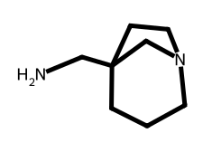 NCC12CCCN(CC1)C2